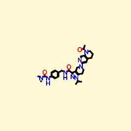 CC(=O)N1CCCc2cc(N3CCc4c(c(C(=O)NCc5ccc(NC(=O)N(C)C)cc5)nn4C(C)C)C3)ncc21